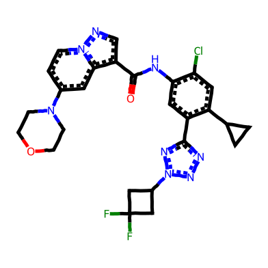 O=C(Nc1cc(-c2nnn(C3CC(F)(F)C3)n2)c(C2CC2)cc1Cl)c1cnn2ccc(N3CCOCC3)cc12